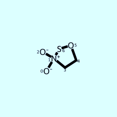 [O-][N+]1([O-])CCOS1